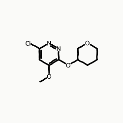 COc1cc(Cl)nnc1OC1CCCOC1